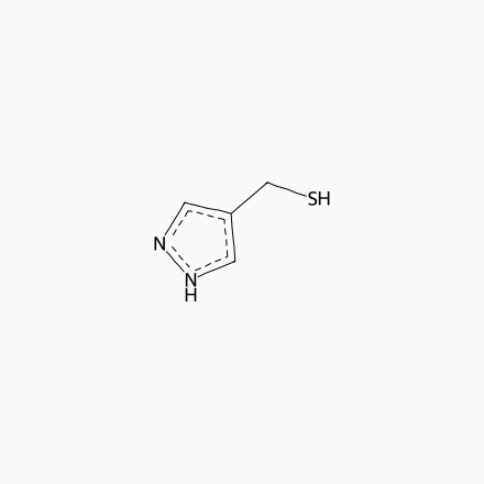 SCc1cn[nH]c1